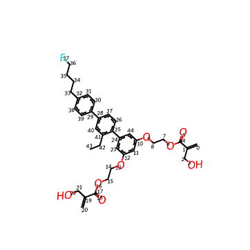 C=C(CO)C(=O)OCCOc1cc(OCCOC(=O)C(=C)CO)cc(-c2ccc(-c3ccc(CCCCF)cc3)cc2CC)c1